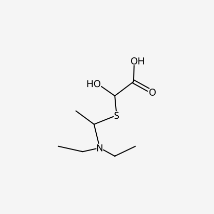 CCN(CC)C(C)SC(O)C(=O)O